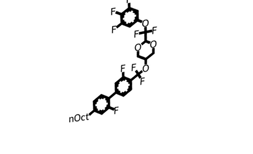 CCCCCCCCc1ccc(-c2ccc(C(F)(F)OC3COC(C(F)(F)Oc4cc(F)c(F)c(F)c4)OC3)c(F)c2)c(F)c1